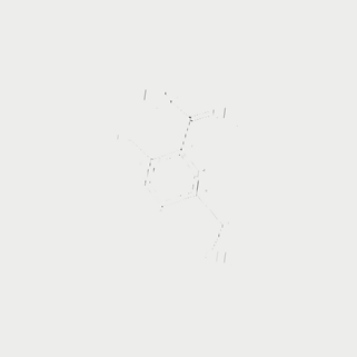 C=C(N)c1cc(CC)ccc1Cl